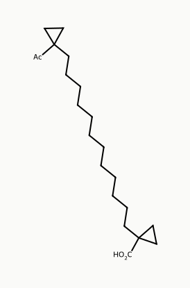 CC(=O)C1(CCCCCCCCCCCCC2(C(=O)O)CC2)CC1